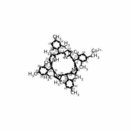 Cc1cc(C)c(-c2c3nc(c(-c4c(C)cc(C)cc4C)c4ccc([nH]4)c(-c4c(C)cc(C)cc4C)c4nc(c(-c5c(C)cc(C)cc5C)c5ccc2[nH]5)C=C4)C=C3)c(C)c1.[Co+2]